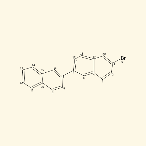 Brc1ccc2cc(-c3ccc4ccccc4c3)ccc2c1